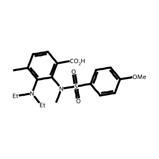 CCN(CC)c1c(C)ccc(C(=O)O)c1N(C)S(=O)(=O)c1ccc(OC)cc1